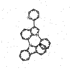 c1ccc(-n2cc(-c3ccccn3)c3cccc(-n4c5ccccc5c5ccccc54)c32)cc1